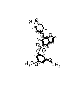 COc1cc(OC)cc(OS(=O)(=O)c2cc(N3CCN(C)CC3)c3occc3c2)c1